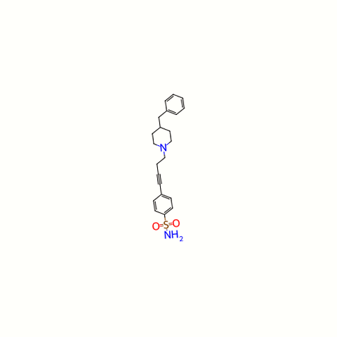 NS(=O)(=O)c1ccc(C#CCCN2CCC(Cc3ccccc3)CC2)cc1